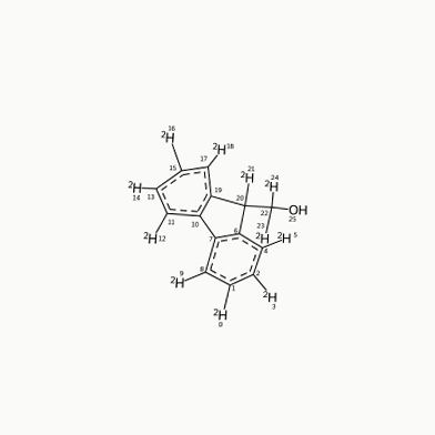 [2H]c1c([2H])c([2H])c2c(c1[2H])-c1c([2H])c([2H])c([2H])c([2H])c1C2([2H])C([2H])([2H])O